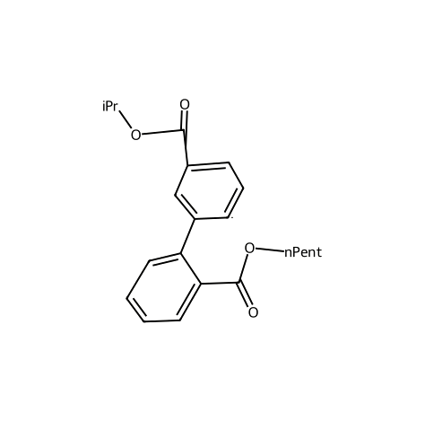 CCCCCOC(=O)c1ccccc1-c1[c]ccc(C(=O)OC(C)C)c1